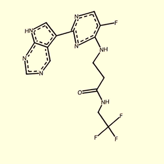 O=C(CCNc1nc(-c2c[nH]c3ncncc23)ncc1F)NCC(F)(F)F